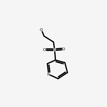 [O]CCS(=O)(=O)c1cccnc1